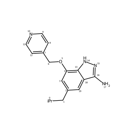 CC(C)Cc1cc(OCc2ccncc2)c2[nH]nc(N)c2c1